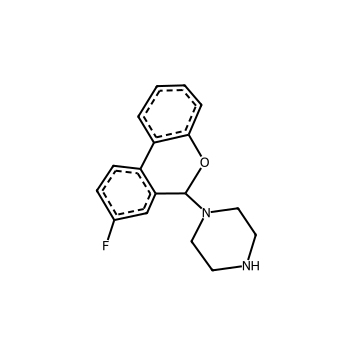 Fc1ccc2c(c1)C(N1CCNCC1)Oc1ccccc1-2